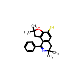 CC1(C)Cc2cc(S)c3c(c2C(c2ccccc2)=N1)CC(C)(C)O3